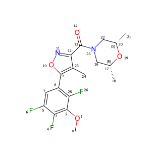 COc1c(F)c(F)cc(-c2onc(C(=O)N3C[C@@H](C)O[C@@H](C)C3)c2C)c1F